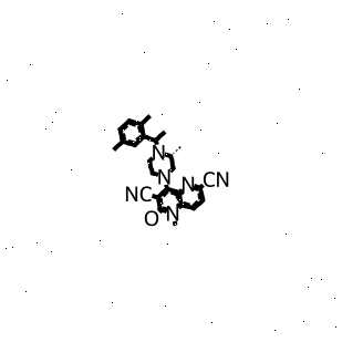 Cc1ccc(C)c(C(C)N2CCN(c3c(C#N)c(=O)n(C)c4ccc(C#N)nc34)C[C@H]2C)c1